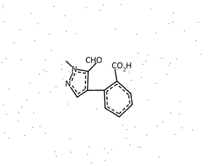 Cn1ncc(-c2ccccc2C(=O)O)c1C=O